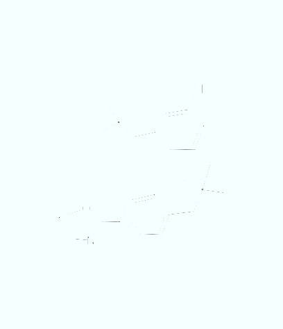 CC(C)(C)Cc1cc(Cl)cc(CC(C)(C)Cc2ccc(-c3ncco3)cc2)c1